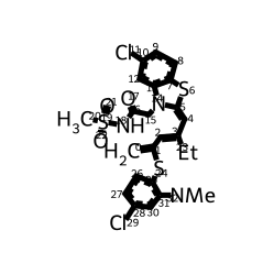 C=C(C=C(C=C1Sc2ccc(Cl)cc2N1CC(=O)NS(C)(=O)=O)CC)Sc1ccc(Cl)cc1NC